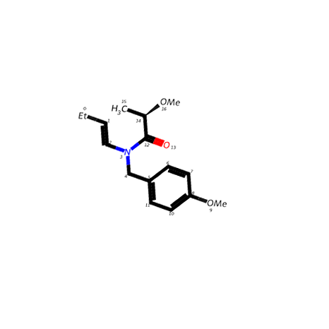 CC/C=C/N(Cc1ccc(OC)cc1)C(=O)[C@@H](C)OC